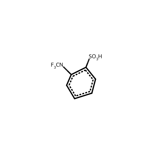 O=S(=O)(O)c1ccccc1NC(F)(F)F